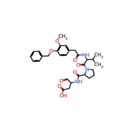 COc1cc(CC(=O)NC(C(=O)N2CCCC2C(=O)NC(C=O)CC(=O)O)C(C)C)ccc1OCc1ccccc1